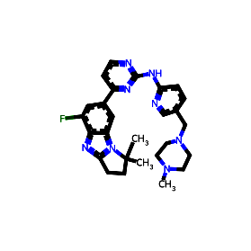 CN1CCN(Cc2ccc(Nc3nccc(-c4cc(F)c5nc6n(c5c4)C(C)(C)CC6)n3)nc2)CC1